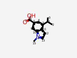 CC(C)c1cc(C(=O)O)cc2c1ccn2C